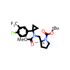 COC(=O)N(C[C@]1(C)CCCN1C(=O)OC(C)(C)C)C1(c2ccc(F)c(C(F)(F)F)c2)CC1